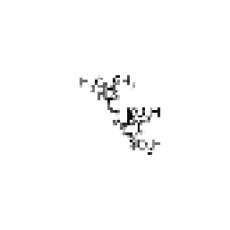 Cc1nc(SCC[C@@H]2CN(C(=O)O)CCN2C(=O)O)sc1C